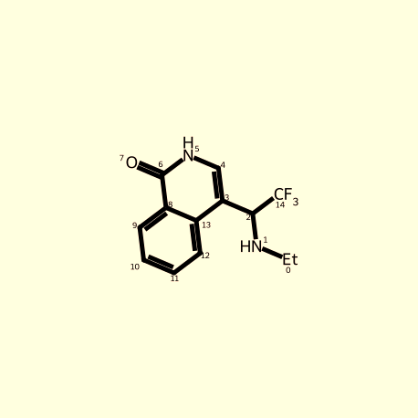 CCNC(c1c[nH]c(=O)c2ccccc12)C(F)(F)F